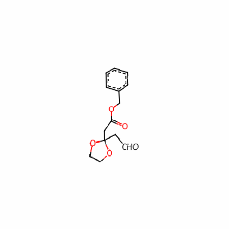 O=CCC1(CC(=O)OCc2ccccc2)OCCO1